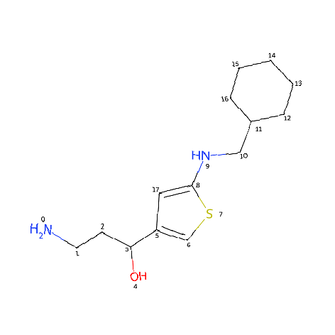 NCCC(O)c1csc(NCC2CCCCC2)c1